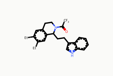 CCc1cc2c(cc1CC)C(CCc1c[nH]c3ccccc13)N(C(=O)C(F)(F)F)CC2